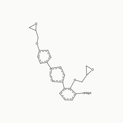 CCCCCCCc1cccc(-c2ccc(-c3ccc(OCC4CO4)cc3)cc2)c1OCC1CO1